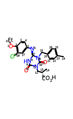 CCOc1ccc(/N=c2\[nH]c(=O)n(C[C@H](C)C(=O)O)c(=O)n2Cc2ccc(C)cc2)cc1Cl